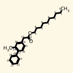 CCCCCCCCCCOC(=O)Cc1ccc(-c2ccccc2)c(C)c1